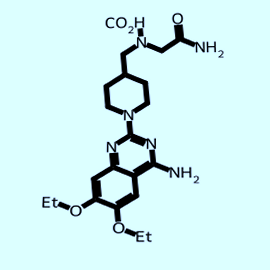 CCOc1cc2nc(N3CCC(CN(CC(N)=O)C(=O)O)CC3)nc(N)c2cc1OCC